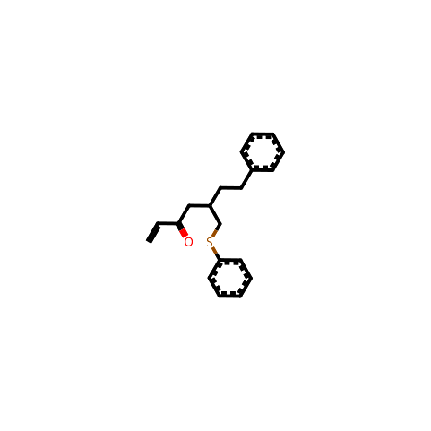 C=CC(=O)CC(CCc1ccccc1)CSc1ccccc1